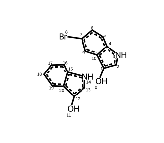 Oc1c[nH]c2ccc(Br)cc12.Oc1c[nH]c2ccccc12